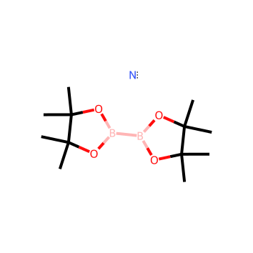 CC1(C)OB(B2OC(C)(C)C(C)(C)O2)OC1(C)C.[N]